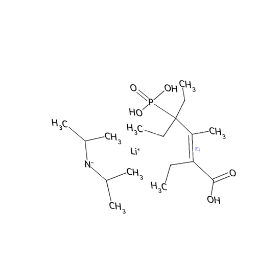 CC(C)[N-]C(C)C.CC/C(C(=O)O)=C(/C)C(CC)(CC)P(=O)(O)O.[Li+]